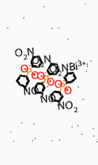 O=[N+]([O-])c1cccc(P(=O)([O-])c2cccc([N+](=O)[O-])c2)c1.O=[N+]([O-])c1cccc(P(=O)([O-])c2cccc([N+](=O)[O-])c2)c1.O=[N+]([O-])c1cccc(P(=O)([O-])c2cccc([N+](=O)[O-])c2)c1.[Bi+3]